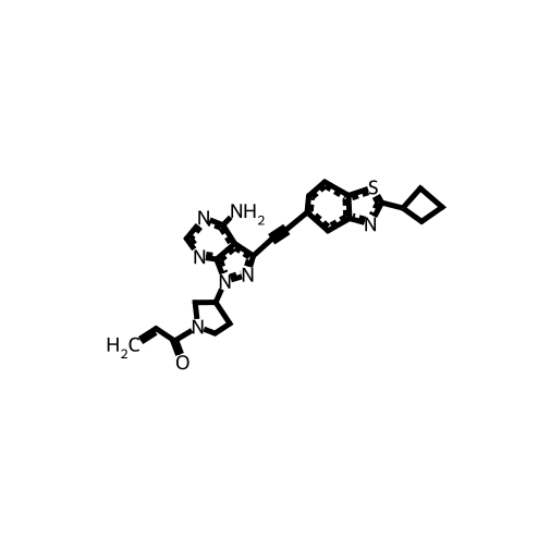 C=CC(=O)N1CCC(n2nc(C#Cc3ccc4sc(C5CCC5)nc4c3)c3c(N)ncnc32)C1